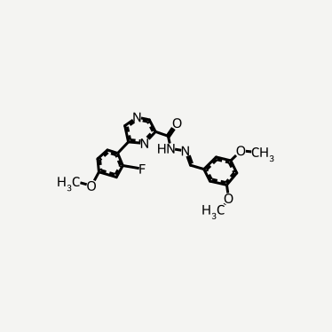 COc1cc(/C=N/NC(=O)c2cncc(-c3ccc(OC)cc3F)n2)cc(OC)c1